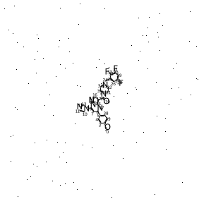 COc1ccc(-c2cc(-n3ccnc3)n3ncc(C(=O)N4CCN(Cc5cc(F)cc(F)c5F)CC4)c3n2)cc1